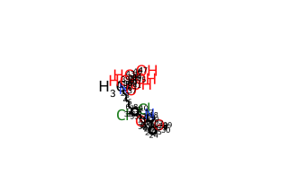 CN(CCCCCc1cc(Cl)c(COC2(c3cnccc3-c3ccccc3OC3CC3)CC2)cc1Cl)C(=O)[C@H](O)[C@H](O)[C@@H](O)[C@H](O)CO